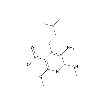 CNc1nc(OC)c([N+](=O)[O-])c(CCN(C)C)c1N